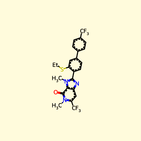 CCSc1cc(-c2ccc(C(F)(F)F)cc2)ccc1-c1nc2cc(C(F)(F)F)n(C)c(=O)c2n1C